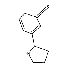 S=C1C=C(C2CCC[N]2)C=CC1